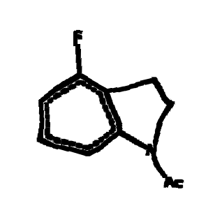 [CH2]C(=O)N1CCc2c(F)cccc21